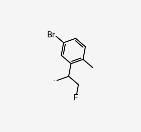 [CH2]C(CF)c1cc(Br)ccc1C